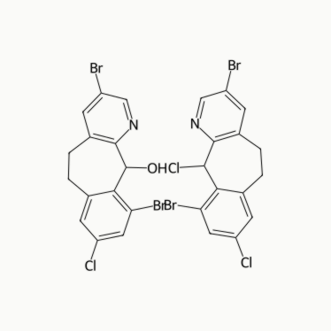 Clc1cc(Br)c2c(c1)CCc1cc(Br)cnc1C2Cl.OC1c2ncc(Br)cc2CCc2cc(Cl)cc(Br)c21